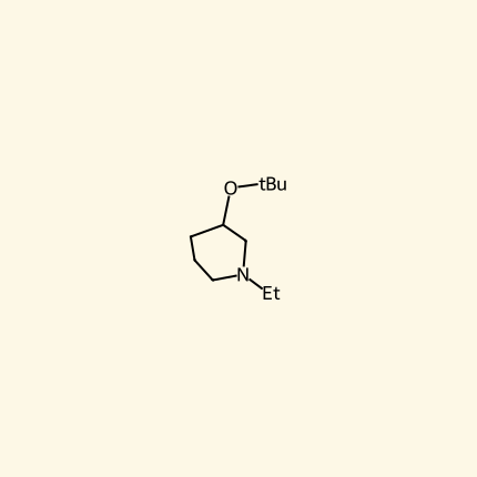 CCN1CCCC(OC(C)(C)C)C1